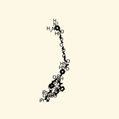 CCC(C)C(C(CC(=O)N1CCCC1C(OC)C(C)C(=O)NC(Cc1ccccc1)C(=O)NOCc1ccc(NC(=O)C(C)NC(=O)CCOCCOCCOCCOCCNC(=O)c2ccc(N)c(N)c2)cc1)OC)N(C)C(=O)C(NC(=O)C(C(C)C)N(C)C)C(C)C